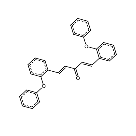 O=C(C=Cc1ccccc1Oc1ccccc1)C=Cc1ccccc1Oc1ccccc1